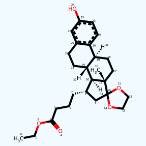 CCOC(=O)CCC[C@H]1CC2(OCCO2)[C@@]2(C)CC[C@@H]3c4ccc(O)cc4CC[C@H]3[C@H]12